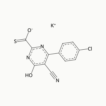 N#Cc1c(O)nc(C([O-])=S)nc1-c1ccc(Cl)cc1.[K+]